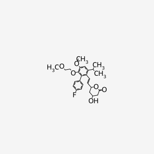 COCCOc1c(OC)cc(C(C)C)c(C=CC2CC(O)CC(=O)O2)c1-c1ccc(F)cc1